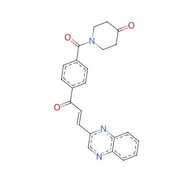 O=C1CCN(C(=O)c2ccc(C(=O)C=Cc3cnc4ccccc4n3)cc2)CC1